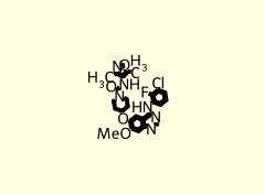 COc1cc2ncnc(Nc3cccc(Cl)c3F)c2cc1OC1CCN(C(=O)Nc2c(C)noc2C)CC1